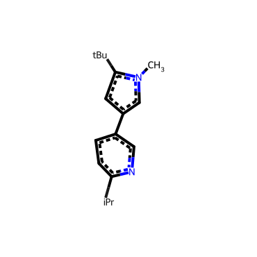 CC(C)c1ccc(-c2cc(C(C)(C)C)n(C)c2)cn1